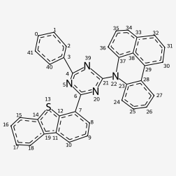 c1ccc(-c2nc(-c3cccc4c3sc3ccccc34)nc(N3c4ccccc4-c4cccc5cccc3c45)n2)cc1